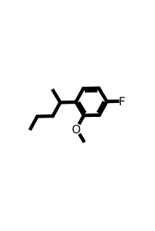 CCCC(C)c1ccc(F)cc1OC